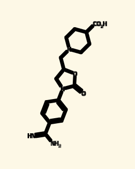 N=C(N)c1ccc(N2CC(CN3CCC(C(=O)O)CC3)OC2=O)cc1